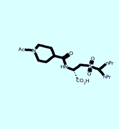 CCCC(CCC)S(=O)(=O)C[C@@H](NC(=O)C1CCN(C(C)=O)CC1)C(=O)O